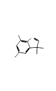 CC1(C)C=Nc2c(Cl)cc(Cl)cc21